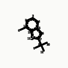 Cc1cccc2cc(C(C)(C)C)sc12